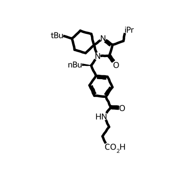 CCCC[C@H](c1ccc(C(=O)NCCC(=O)O)cc1)N1C(=O)C(CC(C)C)=NC12CCC(C(C)(C)C)CC2